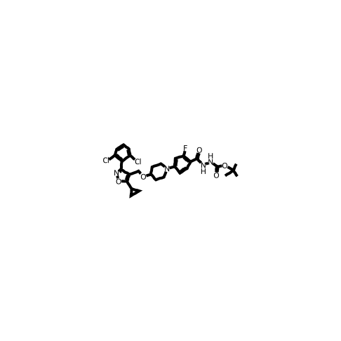 CC(C)(C)OC(=O)NNC(=O)c1ccc(N2CCC(OCc3c(-c4c(Cl)cccc4Cl)noc3C3CC3)CC2)cc1F